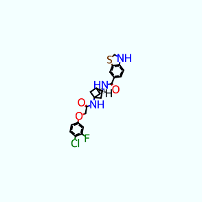 O=C(COc1ccc(Cl)c(F)c1)NC12CC(C1)[C@@H](NC(=O)c1ccc3c(c1)SCN3)C2